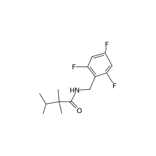 CC(C)C(C)(C)C(=O)NCc1c(F)cc(F)cc1F